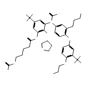 N=C(N)NCCCCC(=O)Nc1cc(C(F)(F)F)cc(N(C(N)=O)c2ccc(Oc3ccc(NCCN)c(C(F)(F)F)c3)c(CCCN)c2)c1O[C@@H]1CCNC1